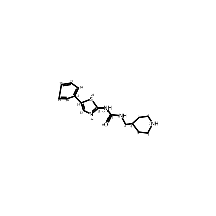 O=C(NCC1CCNCC1)Nc1ncc(-c2ccccc2)s1